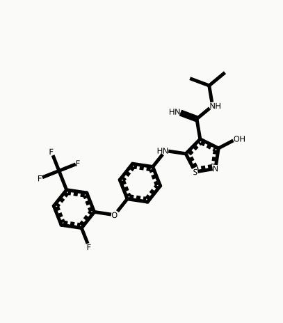 CC(C)NC(=N)c1c(O)nsc1Nc1ccc(Oc2cc(C(F)(F)F)ccc2F)cc1